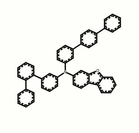 c1ccc(-c2ccc(-c3cccc(N(c4cccc(-c5ccccc5-c5ccccc5)c4)c4ccc5c(c4)oc4ccccc45)c3)cc2)cc1